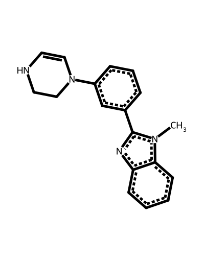 Cn1c(-c2cccc(N3C=CNCC3)c2)nc2ccccc21